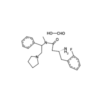 CN(C(=O)C[C@H](N)Cc1ccccc1F)C(CN1CCCC1)c1ccccc1.O=CO